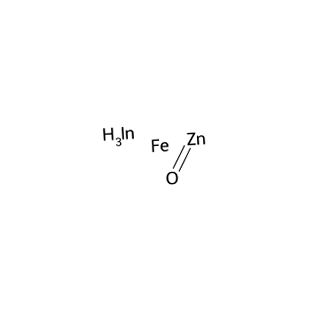 [Fe].[InH3].[O]=[Zn]